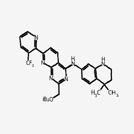 CC(C)COCc1nc(Nc2ccc3c(c2)NCCC3(C)C)c2ccc(-c3ncccc3C(F)(F)F)nc2n1